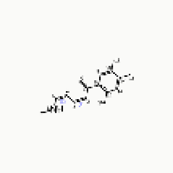 C=C(/C=C\C=C/NC)c1cc(C)c(C)cc1C